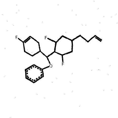 C=CCCC1CC(F)C(C(Oc2ccccc2)C2CC=C(F)CC2)C(F)C1